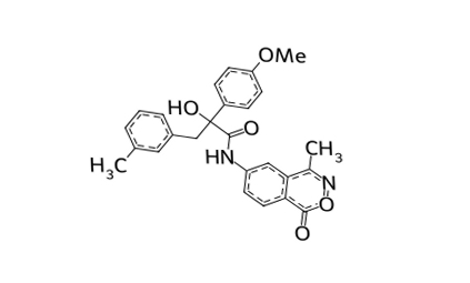 COc1ccc(C(O)(Cc2cccc(C)c2)C(=O)Nc2ccc3c(=O)onc(C)c3c2)cc1